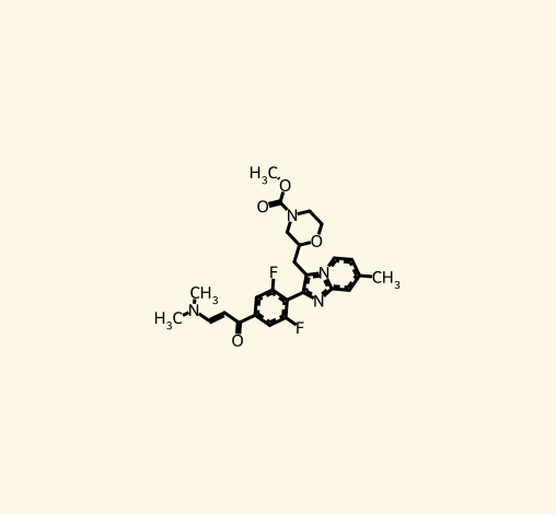 COC(=O)N1CCOC(Cc2c(-c3c(F)cc(C(=O)C=CN(C)C)cc3F)nc3cc(C)ccn23)C1